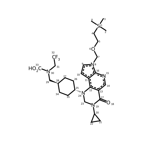 C[Si](C)(C)CCOCn1ccc2c3c(cnc21)C(=O)N(C1CC1)CN3[C@H]1CC[C@H](CN(CC(F)(F)F)C(=O)O)CC1